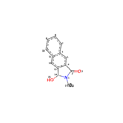 CCCCN1C(=O)c2cc3ccccc3cc2C1O